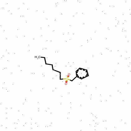 CCCCCCCS(=O)(=O)Cc1ccccc1